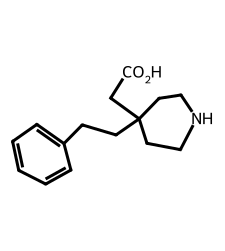 O=C(O)CC1(CCc2ccccc2)CCNCC1